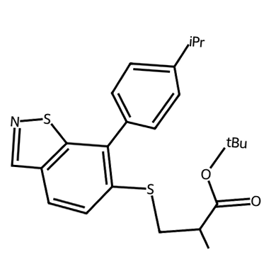 CC(CSc1ccc2cnsc2c1-c1ccc(C(C)C)cc1)C(=O)OC(C)(C)C